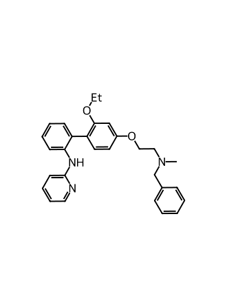 CCOc1cc(OCCN(C)Cc2ccccc2)ccc1-c1ccccc1Nc1ccccn1